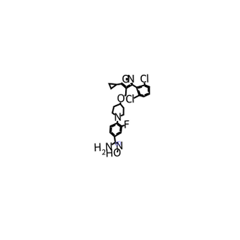 N/C(=N\O)c1ccc(N2CCC(OCc3c(-c4c(Cl)cccc4Cl)noc3C3CC3)CC2)c(F)c1